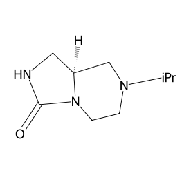 CC(C)N1CCN2C(=O)NC[C@H]2C1